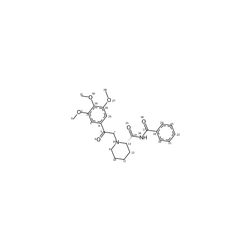 COc1cc(C(=O)CN2CCCC[C@H]2C(=O)NC(=O)c2ccccc2)cc(OC)c1OC